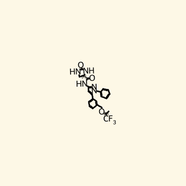 C[C@@H](OCc1cccc(-c2cc(NC(=O)[C@H]3CNC(=O)N3)nn2-c2ccccc2)c1)C(F)(F)F